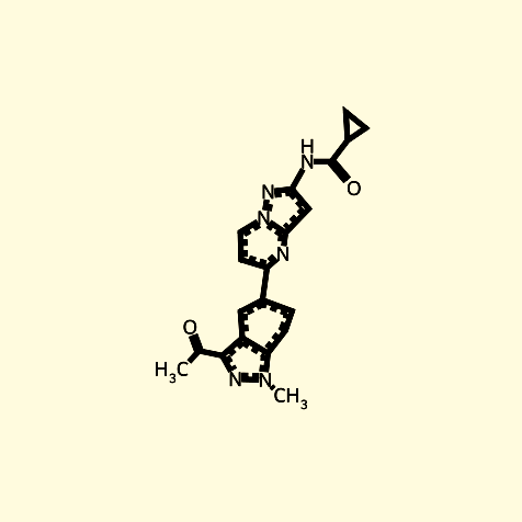 CC(=O)c1nn(C)c2ccc(-c3ccn4nc(NC(=O)C5CC5)cc4n3)cc12